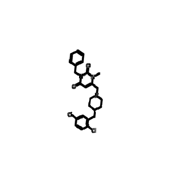 Cn1c(CN2CCC(Cc3cc(Cl)ccc3Cl)CC2)cc(=O)n(Cc2ccccc2)c1=O